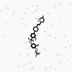 CC1CCC(/C=C/C2CCC(c3ccc(C(F)(F)Oc4ccc(OC=C(F)F)c(F)c4)c(F)c3)CC2)OC1